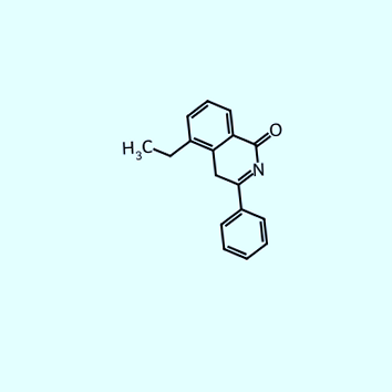 CCc1cccc2c1CC(c1ccccc1)=NC2=O